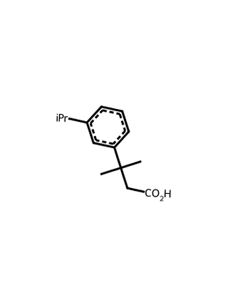 CC(C)c1cccc(C(C)(C)CC(=O)O)c1